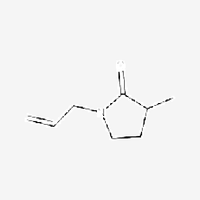 C=CCN1CCC(C)C1=O